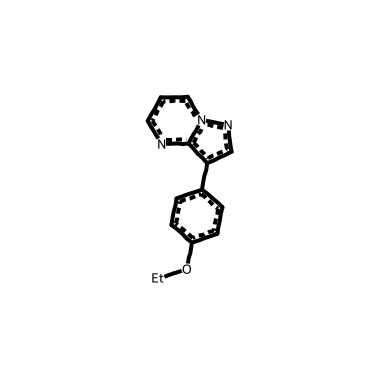 CCOc1ccc(-c2cnn3cccnc23)cc1